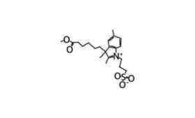 COC(=O)CCCCCC1(C)C(C)=[N+](CCCS(=O)(=O)[O-])c2ccc(C)cc21